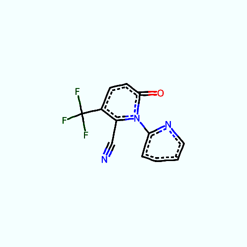 N#Cc1c(C(F)(F)F)ccc(=O)n1-c1ccccn1